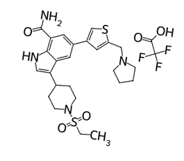 CCS(=O)(=O)N1CCC(c2c[nH]c3c(C(N)=O)cc(-c4csc(CN5CCCC5)c4)cc23)CC1.O=C(O)C(F)(F)F